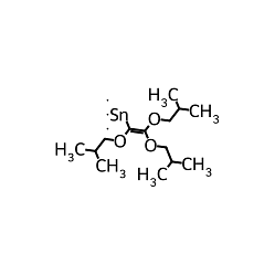 CC(C)CO[C]([Sn])=C(OCC(C)C)OCC(C)C